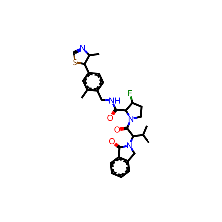 Cc1cc(C2SC=NC2C)ccc1CNC(=O)C1C(F)CCN1C(=O)C(C(C)C)N1Cc2ccccc2C1=O